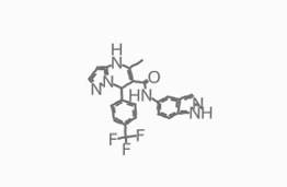 CC1=C(C(=O)Nc2ccc3[nH]ncc3c2)C(c2ccc(C(F)(F)F)cc2)n2nccc2N1